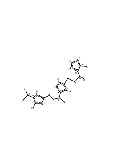 Cc1nc(CCC(C)c2cnc(CCC(C)c3ocnc3C)o2)oc1C(C)C